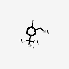 CC(C)(C)c1ccc(F)c(CN)c1